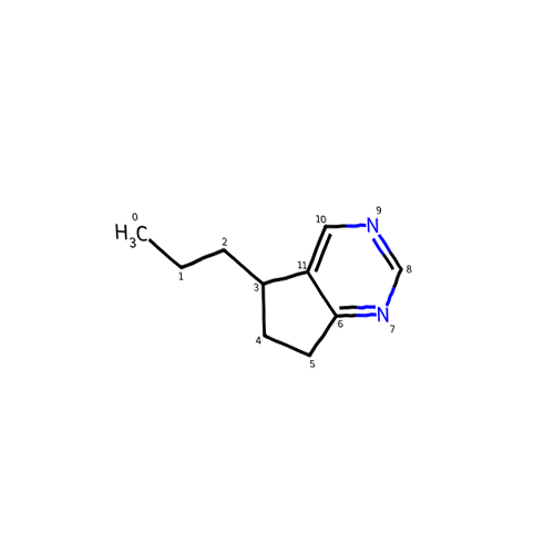 CCCC1CCc2ncncc21